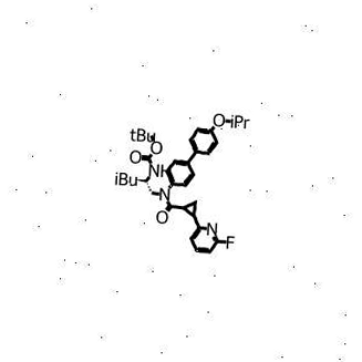 CC[C@H](C)[C@@H](CN(C(=O)C1CC1c1cccc(F)n1)c1ccc(-c2ccc(OC(C)C)cc2)cc1)NC(=O)OC(C)(C)C